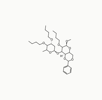 CCCCOC1C(O[C@@H]2C[C@@H](OCCCC)C(OCCCC)C(C)O2)[C@@H]2OC(c3ccccc3)OCC2O[C@@H]1OC